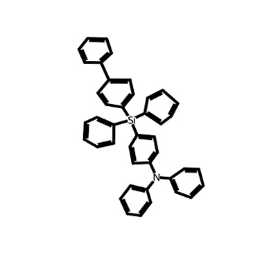 c1ccc(-c2ccc([Si](c3ccccc3)(c3ccccc3)c3ccc(N(c4ccccc4)c4ccccc4)cc3)cc2)cc1